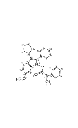 CN(C(=O)Cn1c(-c2ccccc2)c(C2CCCC2)c2ccc(C(=O)O)cc21)c1ccccc1